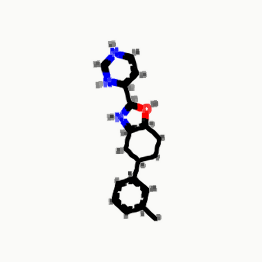 Cc1cccc(C2CCc3oc(-c4ccncn4)nc3C2)c1